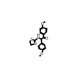 COc1ccc(C(=O)C(NC2=NCCS2)c2ccc(OC)cc2)cc1